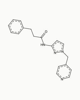 O=C(CCc1ccccc1)Nc1ccn(Cc2ccncc2)n1